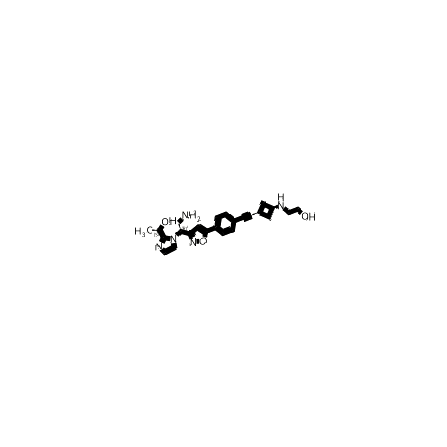 C[C@H](O)c1nccn1[C@H](CN)c1cc(-c2ccc(C#C[C@H]3C[C@H](NCCO)C3)cc2)on1